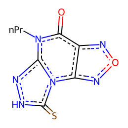 CCCn1c(=O)c2nonc2n2c(=S)[nH]nc12